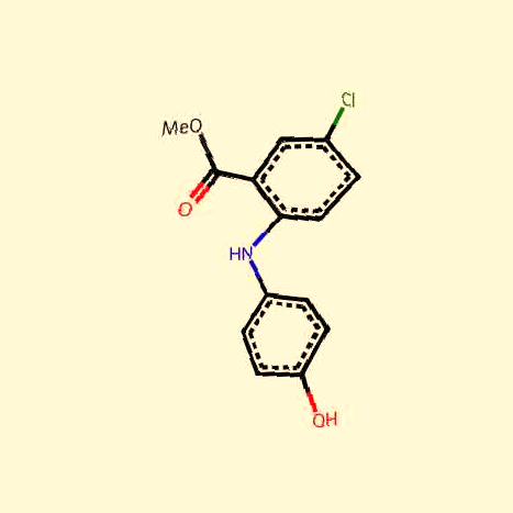 COC(=O)c1cc(Cl)ccc1Nc1ccc(O)cc1